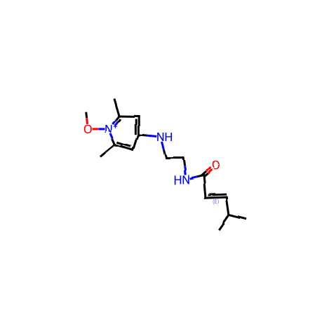 CO[n+]1c(C)cc(NCCNC(=O)/C=C/C(C)C)cc1C